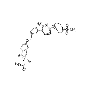 Cc1nc(N2CCN(S(C)(=O)=O)CC2)ccc1-c1cccc(COc2ccc3c(c2)C[C@H]2[C@H](C(=O)O)[C@@H]32)c1